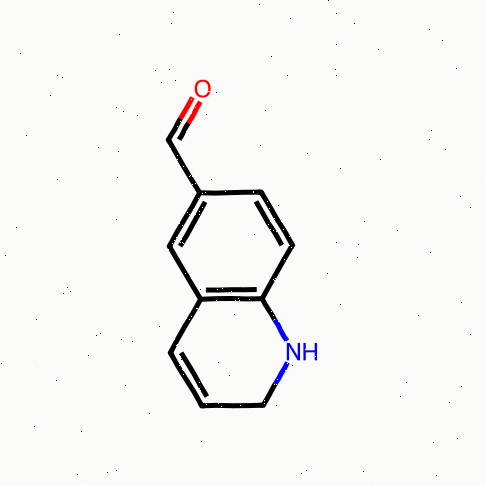 O=Cc1ccc2c(c1)C=CCN2